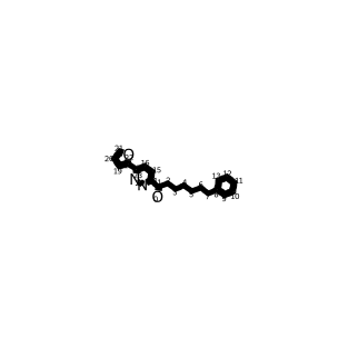 O=C(CCCCCCc1ccccc1)c1ccc(-c2ccco2)nn1